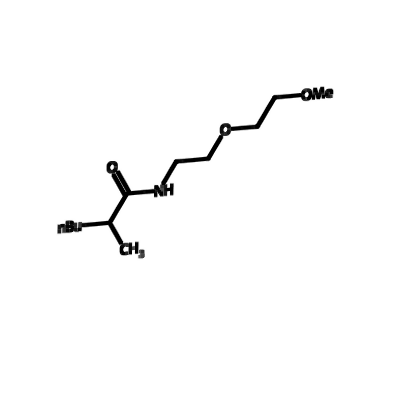 CCCCC(C)C(=O)NCCOCCOC